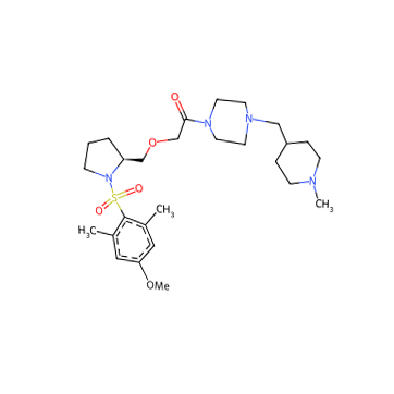 COc1cc(C)c(S(=O)(=O)N2CCC[C@H]2COCC(=O)N2CCN(CC3CCN(C)CC3)CC2)c(C)c1